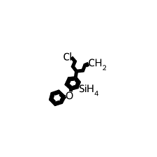 C=CCC(CCCl)c1ccc(Oc2ccccc2)cc1.[SiH4]